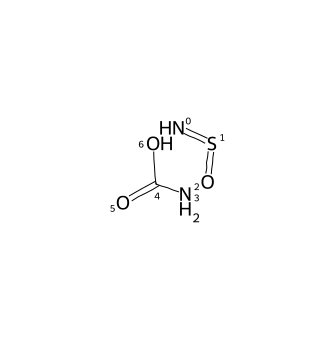 N=S=O.NC(=O)O